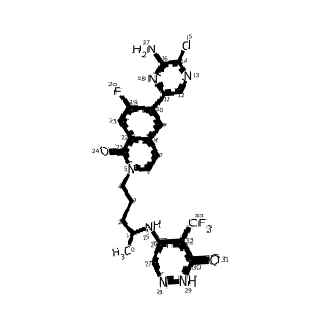 CC(CCCn1ccc2cc(-c3cnc(Cl)c(N)n3)c(F)cc2c1=O)Nc1cn[nH]c(=O)c1C(F)(F)F